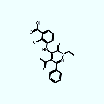 CCn1nc(-c2ccccc2)c(C(C)=O)c(Nc2cccc(C(=O)O)c2Cl)c1=O